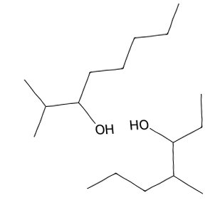 CCCC(C)C(O)CC.CCCCCC(O)C(C)C